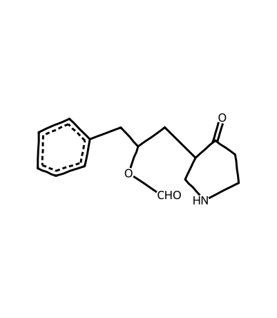 O=COC(Cc1ccccc1)CC1CNCCC1=O